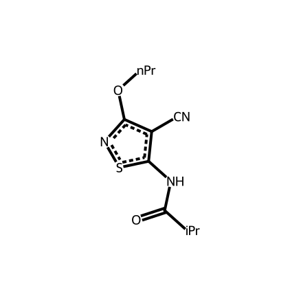 CCCOc1nsc(NC(=O)C(C)C)c1C#N